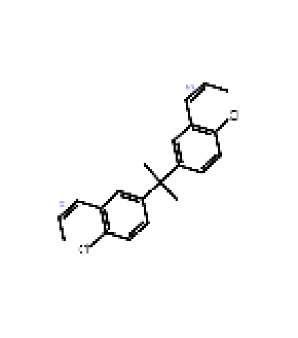 C/C=C\c1cc(C(C)(C)c2ccc(Cl)c(/C=C\C)c2)ccc1Cl